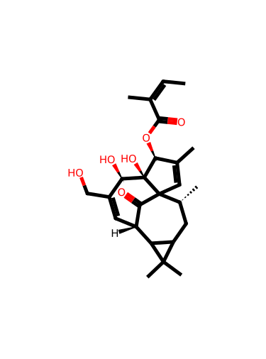 C/C=C(/C)C(=O)O[C@H]1C(C)=CC23C(=O)[C@@H](C=C(CO)[C@@H](O)[C@]12O)C1C(C[C@H]3C)C1(C)C